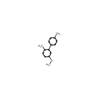 COc1ccc(C)c(-c2ccc(C)cc2)c1